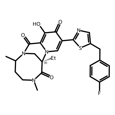 CC[C@]12CN(C(=O)c3c(O)c(=O)c(-c4ncc(Cc5ccc(F)cc5)s4)cn31)C(C)CCN(C)C2=O